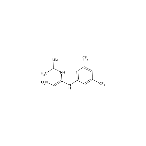 CC(NC(=C[N+](=O)[O-])Nc1cc(C(F)(F)F)cc(C(F)(F)F)c1)C(C)(C)C